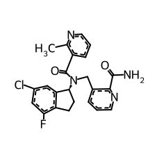 Cc1ncccc1C(=O)N(Cc1cccnc1C(N)=O)[C@H]1CCc2c(F)cc(Cl)cc21